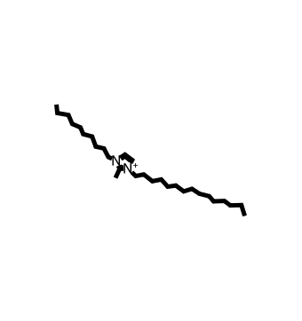 CCCCCCCCCCCCCCC[n+]1ccn(CCCCCCCCCC)c1C